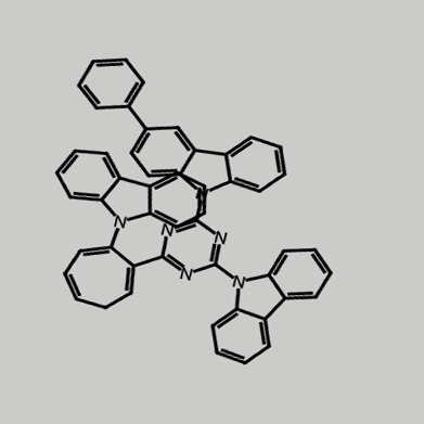 C1=CCC=C(c2nc(-n3c4ccccc4c4ccccc43)nc(-n3c4ccccc4c4cc(-c5ccccc5)ccc43)n2)C(n2c3ccccc3c3ccccc32)=C1